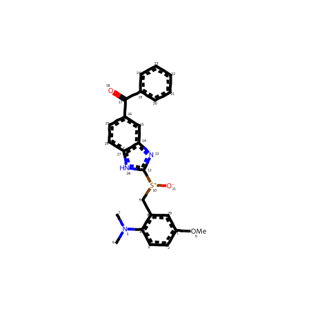 COc1ccc(N(C)C)c(C[S+]([O-])c2nc3cc(C(=O)c4ccccc4)ccc3[nH]2)c1